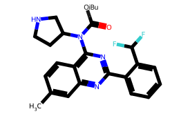 Cc1ccc2c(N(C(=O)OCC(C)C)C3CCNC3)nc(-c3ccccc3C(F)F)nc2c1